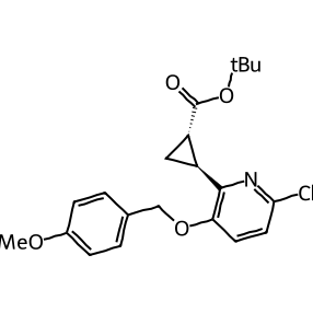 COc1ccc(COc2ccc(Cl)nc2[C@H]2C[C@@H]2C(=O)OC(C)(C)C)cc1